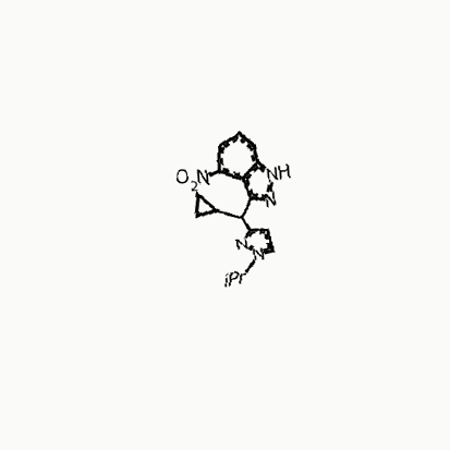 CC(C)n1ccc(C(c2n[nH]c3cccc([N+](=O)[O-])c23)C2CC2)n1